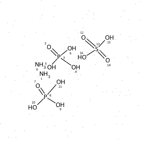 N.N.O=P(O)(O)O.O=P(O)(O)O.O=S(=O)(O)O